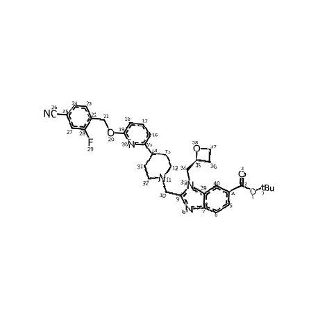 CC(C)(C)OC(=O)c1ccc2nc(CN3CCC(c4cccc(OCc5ccc(C#N)cc5F)n4)CC3)n(C[C@@H]3CCO3)c2c1